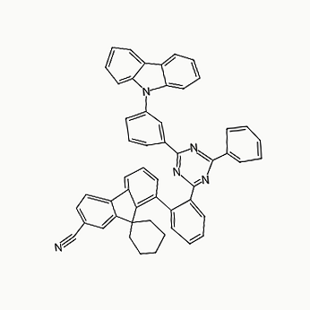 N#Cc1ccc2c(c1)C1(CCCCC1)c1c(-c3ccccc3-c3nc(-c4ccccc4)nc(-c4cccc(-n5c6ccccc6c6ccccc65)c4)n3)cccc1-2